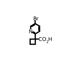 O=C(O)C1(c2ccc(Br)cn2)CCC1